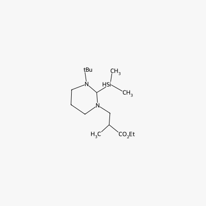 CCOC(=O)C(C)CN1CCCN(C(C)(C)C)C1[SiH](C)C